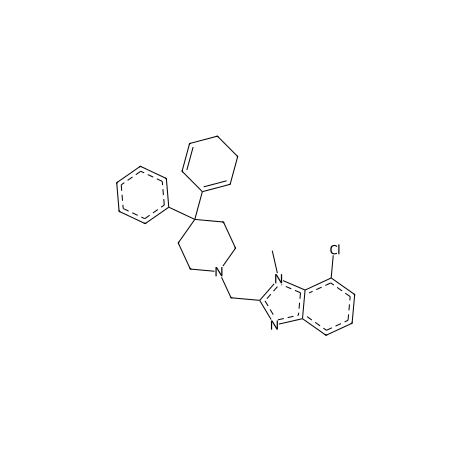 Cn1c(CN2CCC(C3=CCCC=C3)(c3ccccc3)CC2)nc2cccc(Cl)c21